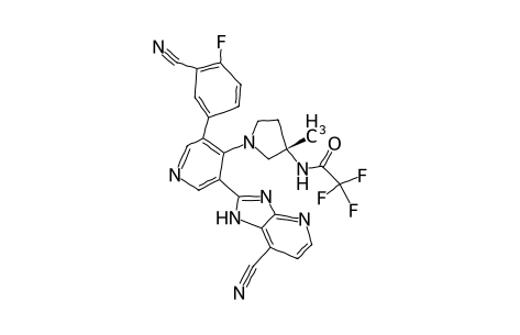 C[C@]1(NC(=O)C(F)(F)F)CCN(c2c(-c3ccc(F)c(C#N)c3)cncc2-c2nc3nccc(C#N)c3[nH]2)C1